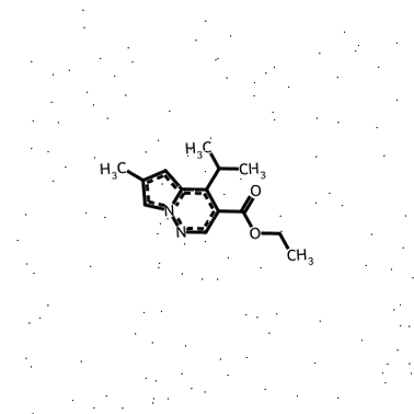 CCOC(=O)c1cnn2cc(C)cc2c1C(C)C